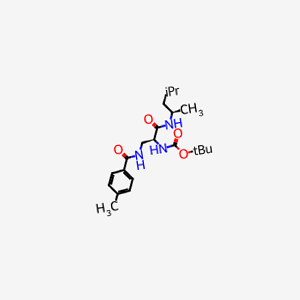 Cc1ccc(C(=O)NC[C@H](NC(=O)OC(C)(C)C)C(=O)N[C@H](C)CC(C)C)cc1